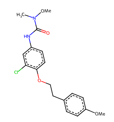 COc1ccc(CCOc2ccc(NC(=O)N(C)OC)cc2Cl)cc1